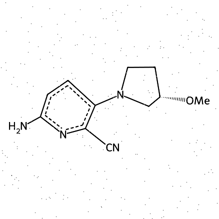 CO[C@H]1CCN(c2ccc(N)nc2C#N)C1